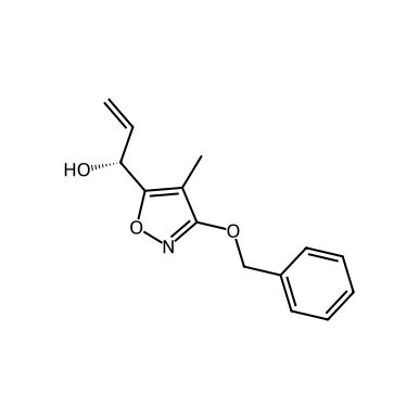 C=C[C@@H](O)c1onc(OCc2ccccc2)c1C